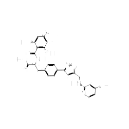 Cc1ccnc(NCc2cc(-c3ccc(CC(NC(=O)c4c(C)cc(C)cc4C)C(=O)O)cc3)no2)c1